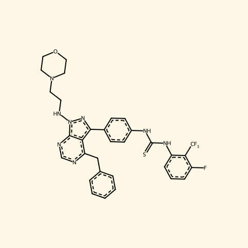 Fc1cccc(NC(=S)Nc2ccc(-c3nn(NCCN4CCOCC4)c4ncnc(Cc5ccccc5)c34)cc2)c1C(F)(F)F